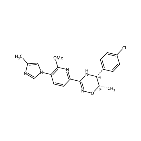 COc1nc(C2=NO[C@@H](C)[C@@H](c3ccc(Cl)cc3)N2)ccc1-n1cnc(C)c1